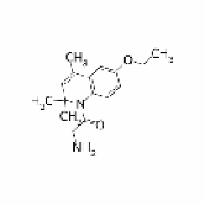 CCOc1ccc2c(c1)C(C)=CC(C)(C)N2C(=O)CN